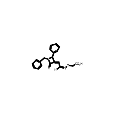 CCC(/C=C1\C(=O)N(Cc2ccccc2)C1c1ccccc1)=N/OCC(=O)O